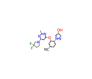 Cc1nc(Oc2cc(C#N)ccc2-n2cc(O)cn2)cc(N2CCC(F)(F)C2)n1